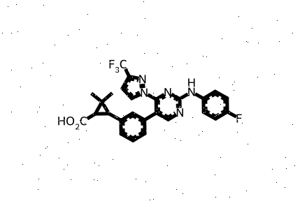 CC1(C)C(C(=O)O)C1c1cccc(-c2cnc(Nc3ccc(F)cc3)nc2-n2ccc(C(F)(F)F)n2)c1